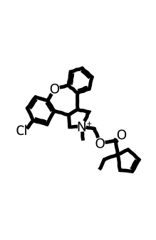 CCC1(C(=O)OC[N+]2(C)CC3c4ccccc4Oc4ccc(Cl)cc4C3C2)CC=CC1